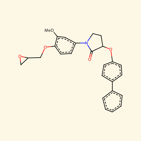 COc1cc(N2CCC(Oc3ccc(-c4ccccc4)cc3)C2=O)ccc1OCC1CO1